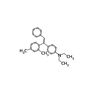 CCN(CC)c1ccc(C(=Cc2ccccc2)c2ccc(C)cc2C)cc1